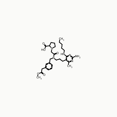 CCCCCNc1nc(N)nc(C)c1CCCN(Cc1cccc(CC(=O)OC)c1)C(=O)CN1CCCC1C(=O)O